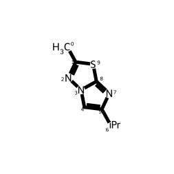 Cc1nn2cc(C(C)C)nc2s1